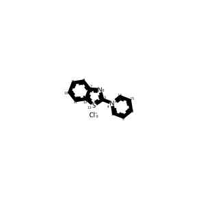 [Cl-].c1cc[n+](-c2nc3ccccc3s2)cc1